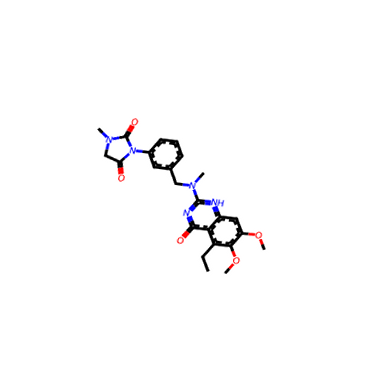 CCc1c(OC)c(OC)cc2[nH]c(N(C)Cc3cccc(N4C(=O)CN(C)C4=O)c3)nc(=O)c12